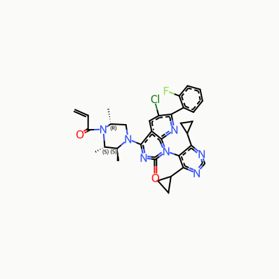 C=CC(=O)N1[C@H](C)CN(c2nc(=O)n(-c3c(C4CC4)ncnc3C3CC3)c3nc(-c4ccccc4F)c(Cl)cc23)[C@@H](C)[C@@H]1C